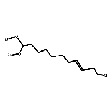 CCOC(CCCCCC/C=C/CCCl)OCC